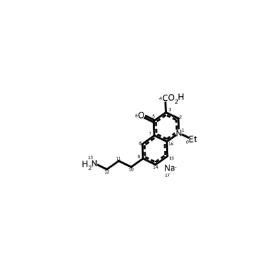 CCn1cc(C(=O)O)c(=O)c2cc(CCCN)ccc21.[Na]